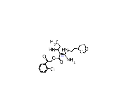 CCC(=N)/C(C(=O)OCC(=O)c1ccccc1Cl)=C(/N)NCCC1CCOCC1